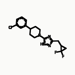 FC1(F)CC1Cc1n[nH]c(N2CCC(c3cccc(Cl)c3)CC2)n1